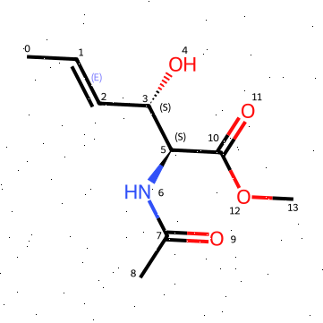 C/C=C/[C@H](O)[C@H](NC(C)=O)C(=O)OC